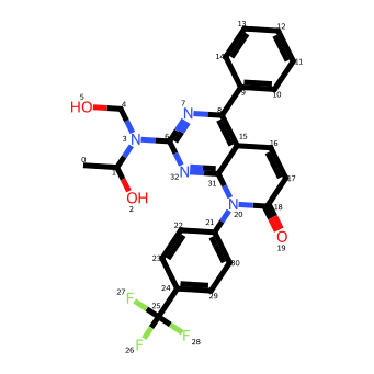 CC(O)N(CO)c1nc(-c2ccccc2)c2ccc(=O)n(-c3ccc(C(F)(F)F)cc3)c2n1